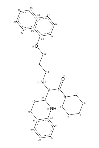 O=C(C1CCCCC1)C(NCCCOc1cccc2cccnc12)C1CCc2ccccc2N1